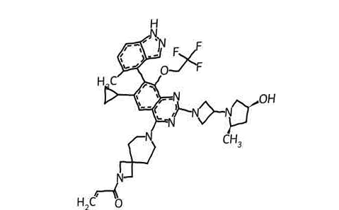 C=CC(=O)N1CC2(CCN(c3nc(N4CC(N5C[C@@H](O)C[C@H]5C)C4)nc4c(OCC(F)(F)F)c(-c5c(C)ccc6[nH]ncc56)c(C5CC5)cc34)CC2)C1